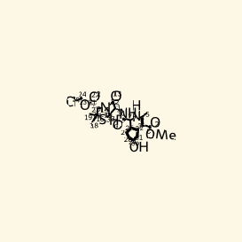 COC(=O)C=C(C)NC(C(=O)N[C@@H]1C(=O)N2[C@@H]1SC(C)(C)[C@@H]2C(=O)OCCl)c1ccc(O)cc1